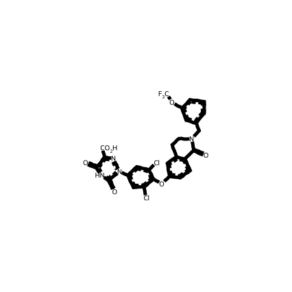 O=C(O)c1nn(-c2cc(Cl)c(Oc3ccc4c(c3)CCN(Cc3cccc(OC(F)(F)F)c3)C4=O)c(Cl)c2)c(=O)[nH]c1=O